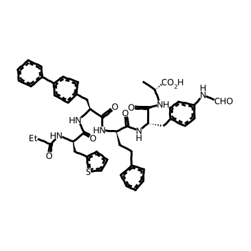 CCC(=O)N[C@H](Cc1cccs1)C(=O)N[C@@H](Cc1ccc(-c2ccccc2)cc1)C(=O)N[C@H](CCc1ccccc1)C(=O)N[C@@H](Cc1ccc(NC=O)cc1)C(=O)N[C@H](C)C(=O)O